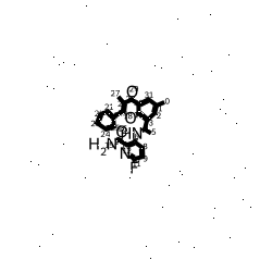 Cc1cc(C(C)Nc2ccc(F)nc2C(N)=O)c2oc(-c3ccccc3)c(C)c(=O)c2c1